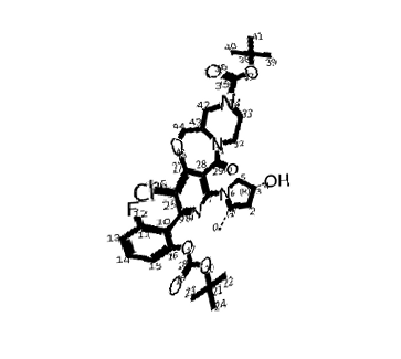 C[C@H]1C[C@@H](O)CN1c1nc(-c2c(F)cccc2OC(=O)OC(C)(C)C)c(Cl)c2c1C(=O)N1CCN(C(=O)OC(C)(C)C)CC1CO2